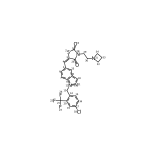 O=C1SC(=Cc2ccc3c(cnn3Cc3ccc(Cl)cc3C(F)(F)F)c2)C(=O)N1CCN1CCC1